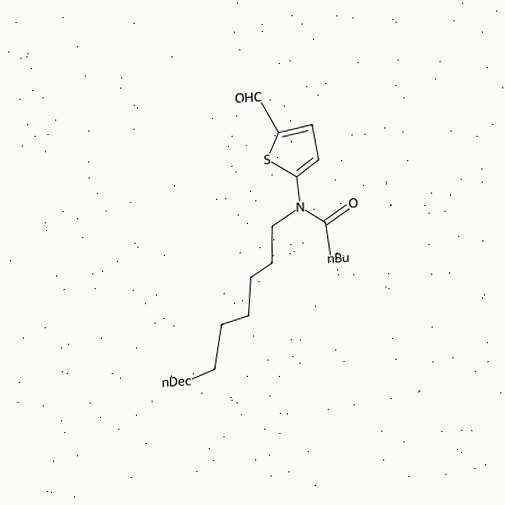 CCCCCCCCCCCCCCCCN(C(=O)CCCC)c1ccc(C=O)s1